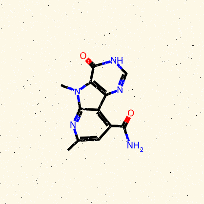 Cc1cc(C(N)=O)c2c3nc[nH]c(=O)c3n(C)c2n1